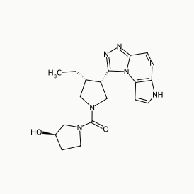 CC[C@H]1CN(C(=O)N2CC[C@@H](O)C2)C[C@H]1c1nnc2cnc3[nH]ccc3n12